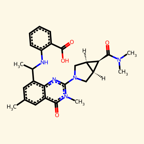 Cc1cc(C(C)Nc2ccccc2C(=O)O)c2nc(N3C[C@@H]4[C@H](C3)[C@@H]4C(=O)N(C)C)n(C)c(=O)c2c1